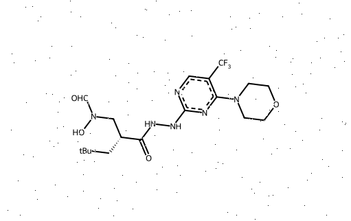 CC(C)(C)C[C@H](CN(O)C=O)C(=O)NNc1ncc(C(F)(F)F)c(N2CCOCC2)n1